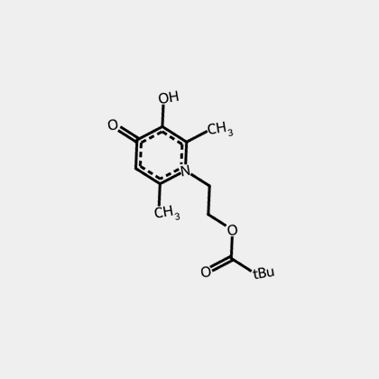 Cc1cc(=O)c(O)c(C)n1CCOC(=O)C(C)(C)C